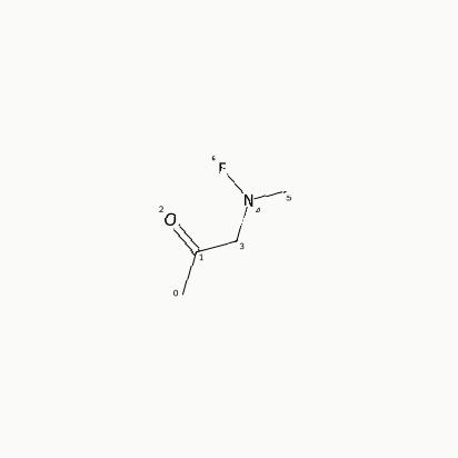 CC(=O)CN(C)F